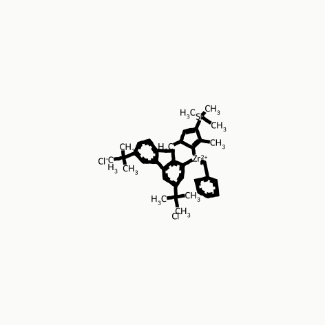 CC1=[C](/[Zr+2](=[CH]/c2ccccc2)[c]2cc(C(C)(C)C)cc3c2Cc2ccc(C(C)(C)C)cc2-3)C(C)C=C1[Si](C)(C)C.[Cl-].[Cl-]